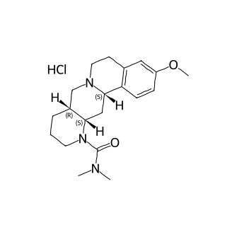 COc1ccc2c(c1)CCN1C[C@H]3CCCN(C(=O)N(C)C)[C@H]3C[C@@H]21.Cl